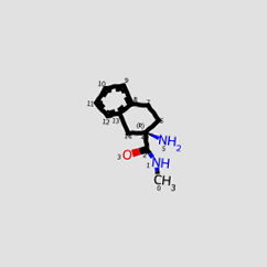 CNC(=O)[C@@]1(N)CCc2ccccc2C1